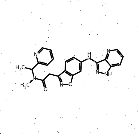 CC(c1ccccn1)N(C)C(=O)Cc1noc2cc(Nc3n[nH]c4cccnc34)ccc12